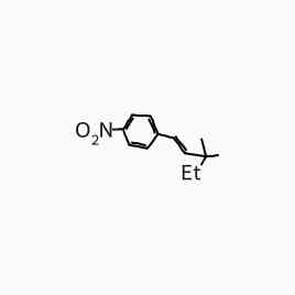 CCC(C)(C)/C=C/c1ccc([N+](=O)[O-])cc1